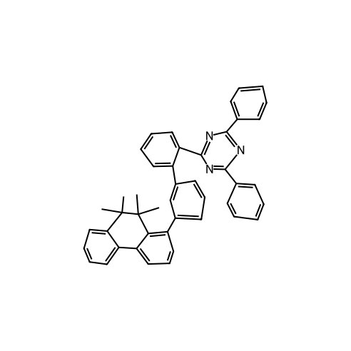 CC1(C)c2ccccc2-c2cccc(-c3cccc(-c4ccccc4-c4nc(-c5ccccc5)nc(-c5ccccc5)n4)c3)c2C1(C)C